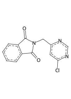 O=C1c2ccccc2C(=O)N1Cc1cc(Cl)ncn1